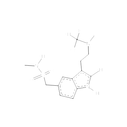 [2H]c1c(CCN(C)C([2H])([2H])[2H])c2cc(CS(=O)(=O)N([2H])C)ccc2n1[2H]